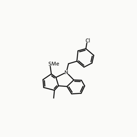 CSc1ccc(C)c2c3ccccc3n(Cc3cccc(Cl)c3)c12